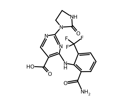 NC(=O)c1cccc(C(F)(F)F)c1Nc1nc(N2CCNC2=O)ncc1C(=O)O